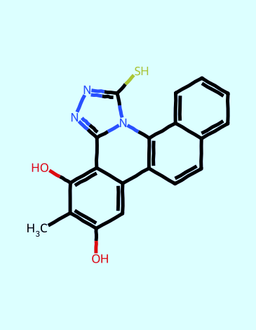 Cc1c(O)cc2c3ccc4ccccc4c3n3c(S)nnc3c2c1O